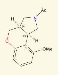 COc1cccc2c1[C@@H]1CN(C(C)=O)C[C@@H]1CO2